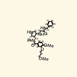 COCCCOc1cc(C(=O)N(C[C@@H]2CNC[C@H]2NCC(=O)NCc2ccccc2)C(C)C)ccc1OC